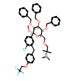 CO[C@@]1(c2ccc(Cl)c(Cc3ccc(OCC(F)(F)F)cc3)c2)O[C@H](COCC(C)(C)[SiH](C)C)[C@@H](OCc2ccccc2)[C@H](OCc2ccccc2)[C@H]1OCc1ccccc1